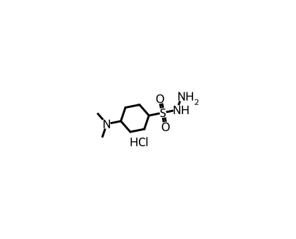 CN(C)C1CCC(S(=O)(=O)NN)CC1.Cl